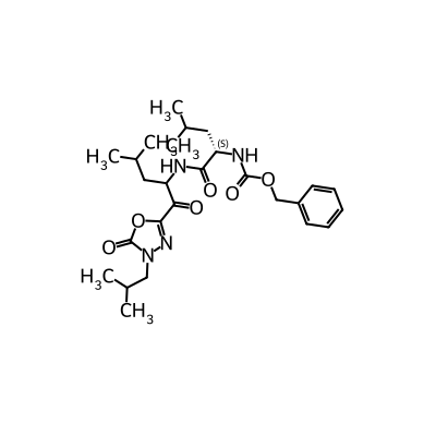 CC(C)CC(NC(=O)[C@H](CC(C)C)NC(=O)OCc1ccccc1)C(=O)c1nn(CC(C)C)c(=O)o1